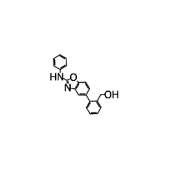 OCc1ccccc1-c1ccc2oc(Nc3ccccc3)nc2c1